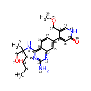 CCCCC(C)(CO)Nc1nc(N)nc2cc(-c3cc(=O)[nH]cc3COC)ccc12